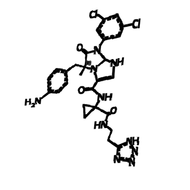 C[C@@]1(Cc2ccc(N)cc2)C(=O)N(c2cc(Cl)cc(Cl)c2)C2NC=C(C(=O)NC3(C(=O)NCCc4nnn[nH]4)CC3)N21